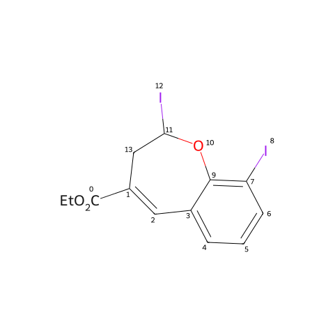 CCOC(=O)C1=Cc2cccc(I)c2OC(I)C1